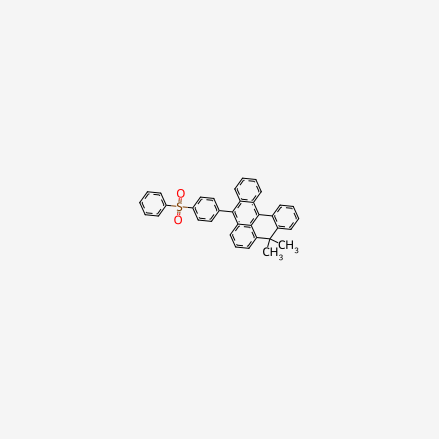 CC1(C)c2ccccc2-c2c3ccccc3c(-c3ccc(S(=O)(=O)c4ccccc4)cc3)c3cccc1c23